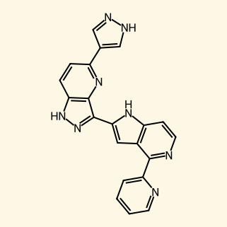 c1ccc(-c2nccc3[nH]c(-c4n[nH]c5ccc(-c6cn[nH]c6)nc45)cc23)nc1